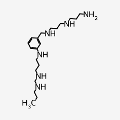 CCCNCNCCCNc1cccc(CNCCCNCCCN)c1